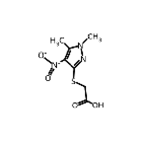 Cc1c([N+](=O)[O-])c(SCC(=O)O)nn1C